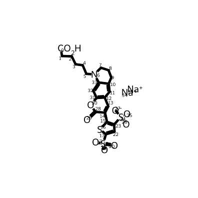 O=C(O)CCCCCN1CCCc2cc3cc(-c4sc(S(=O)(=O)[O-])cc4S(=O)(=O)[O-])c(=O)oc3cc21.[Na+].[Na+]